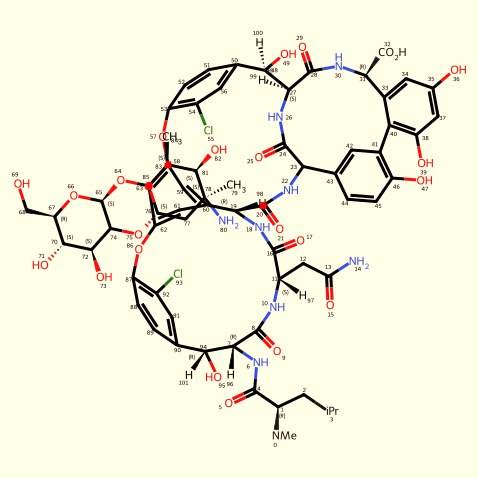 CN[C@H](CC(C)C)C(=O)N[C@H]1C(=O)N[C@@H](CC(N)=O)C(=O)N[C@H]2C(=O)NC3C(=O)N[C@H](C(=O)N[C@@H](C(=O)O)c4cc(O)cc(O)c4-c4cc3ccc4O)[C@H](O)c3ccc(c(Cl)c3)Oc3cc2cc(c3O[C@@H]2O[C@H](CO)[C@@H](O)[C@H](O)C2O[C@H]2C[C@](C)(N)[C@H](O)[C@H](C)O2)Oc2ccc(cc2Cl)[C@H]1O